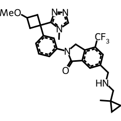 COC1CC(c2cccc(N3Cc4c(cc(CNCC5(C)CC5)cc4C(F)(F)F)C3=O)c2)(c2nncn2C)C1